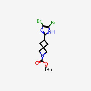 CC(C)(C)OC(=O)N1CC2(CC(c3nc(Br)c(Br)[nH]3)C2)C1